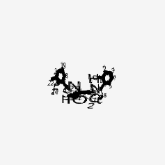 Cc1ccccc1[C@H](CC(=O)O)NC(=O)c1csc(-c2cccc(C)c2F)n1